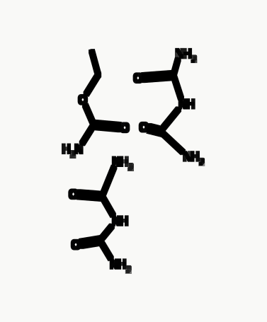 CCOC(N)=O.NC(=O)NC(N)=O.NC(=O)NC(N)=O